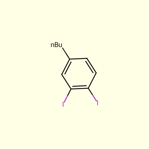 CCCCc1ccc(I)c(I)c1